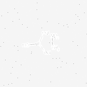 CN.OP(O)O